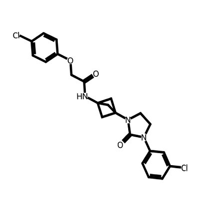 O=C(COc1ccc(Cl)cc1)NC12CC(N3CCN(c4cccc(Cl)c4)C3=O)(C1)C2